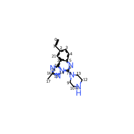 C=Cc1ccc2nc(N3CCNCC3)n3nc(C)nc3c2c1